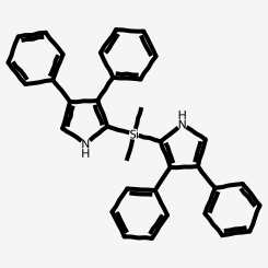 C[Si](C)(c1[nH]cc(-c2ccccc2)c1-c1ccccc1)c1[nH]cc(-c2ccccc2)c1-c1ccccc1